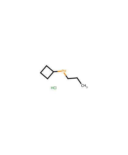 CCCPC1CCC1.Cl